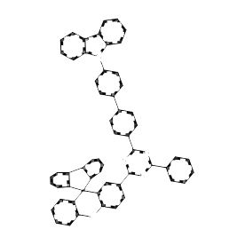 c1ccc(-c2nc(-c3ccc(-c4ccc(-n5c6ccccc6c6ccccc65)cc4)cc3)nc(-c3ccc4c(c3)C3(c5ccccc5O4)c4ccccc4-c4ccccc43)n2)cc1